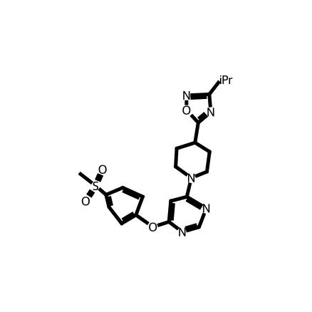 CC(C)c1noc(C2CCN(c3cc(Oc4ccc(S(C)(=O)=O)cc4)ncn3)CC2)n1